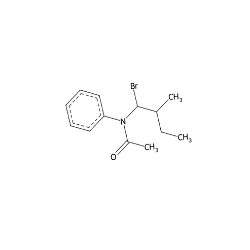 CCC(C)C(Br)N(C(C)=O)c1ccccc1